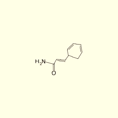 NC(=O)/C=C/C1C=CC=CC1